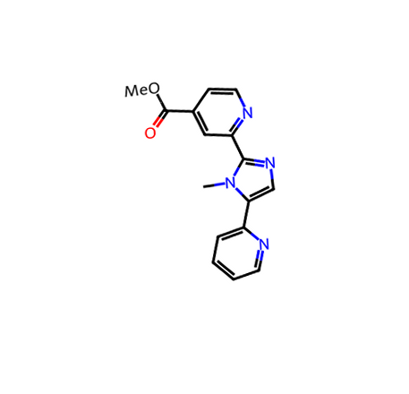 COC(=O)c1ccnc(-c2ncc(-c3ccccn3)n2C)c1